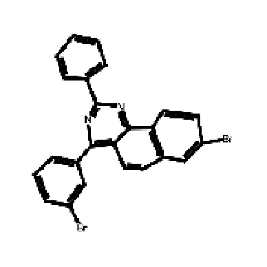 Brc1cccc(-c2nc(-c3ccccc3)nc3c2ccc2cc(Br)ccc23)c1